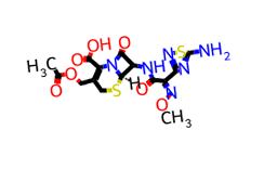 CO/N=C(\C(=O)NC1C(=O)N2C(C(=O)O)=C(COC(C)=O)CS[C@H]12)c1nsc(N)n1